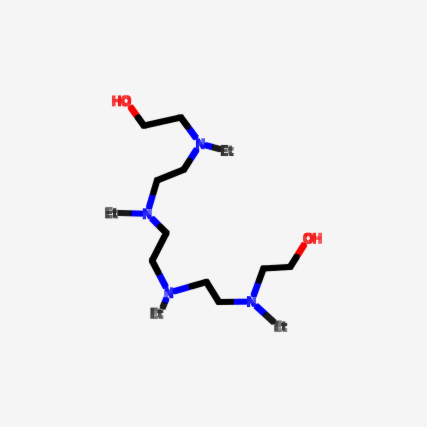 CCN(CCO)CCN(CC)CCN(CC)CCN(CC)CCO